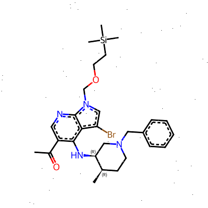 CC(=O)c1cnc2c(c(Br)cn2COCC[Si](C)(C)C)c1N[C@H]1CN(Cc2ccccc2)CC[C@H]1C